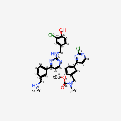 CC(C)N(Cc1cccc(-c2ccnc(Cl)n2)c1)C(=O)OC(C)(C)C.CC(C)NCc1cccc(-c2ccnc(NCc3ccc(O)c(Cl)c3)n2)c1